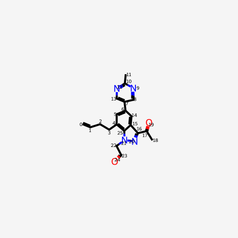 C=CCCc1cc(-c2cnc(C)nc2)cc2c(C(C)=O)nn(CC=O)c12